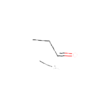 CC(C)=O.CCC=O